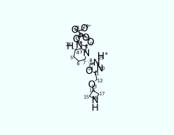 O=C1N2C[C@@H](CC[C@H]2c2nnc(COC3CNC3)o2)N1OS(=O)(=O)[O-].[H+]